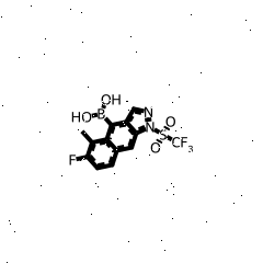 Cc1c(F)ccc2cc3c(cnn3S(=O)(=O)C(F)(F)F)c(B(O)O)c12